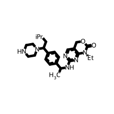 CCN1C(=O)OCc2cnc(NC(C)c3ccc(C(CC(C)C)N4CCNCC4)cc3)nc21